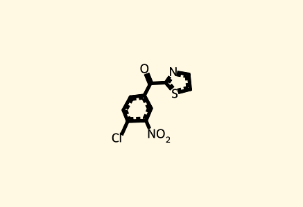 O=C(c1ccc(Cl)c([N+](=O)[O-])c1)c1nccs1